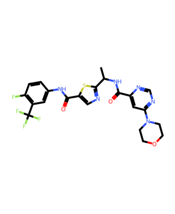 CC(NC(=O)c1cc(N2CCOCC2)ncn1)c1ncc(C(=O)Nc2ccc(F)c(C(F)(F)F)c2)s1